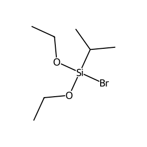 CCO[Si](Br)(OCC)C(C)C